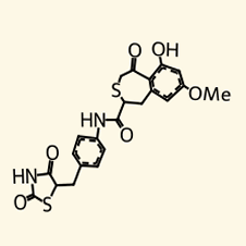 COc1cc(O)c2c(c1)CC(C(=O)Nc1ccc(CC3SC(=O)NC3=O)cc1)SCC2=O